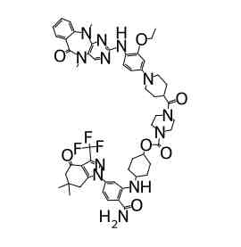 CCOc1cc(N2CCC(C(=O)N3CCN(C(=O)OC4CCC(Nc5cc(-n6nc(C(F)(F)F)c7c6CC(C)(C)CC7=O)ccc5C(N)=O)CC4)CC3)CC2)ccc1Nc1ncc2c(n1)N(C)c1ccccc1C(=O)N2C